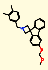 COCOc1ccc2c(c1)-c1ccccc1C21CN(Cc2ccc(C)c(C)c2)C1